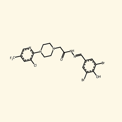 O=C(CN1CCN(c2ncc(C(F)(F)F)cc2Cl)CC1)NN=Cc1cc(Br)c(O)c(Br)c1